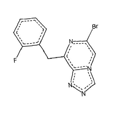 Fc1ccccc1Cc1nc(Br)cn2cnnc12